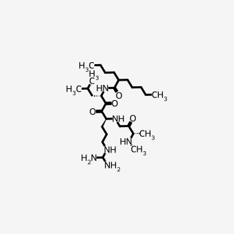 CCCCCC(CCCC)C(=O)N[C@@H](CC(C)C)C(=O)C(=O)[C@H](CCCNC(N)N)NCC(=O)[C@H](C)NC